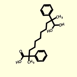 CC(CCCCCCCC(C)(c1ccccc1)C(O)O)(C(=O)O)c1ccccc1